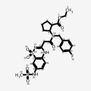 CCOC(=O)C1CCCC1N(Cc1ccc(F)cc1)C(=O)CC1=NS(=O)(=O)c2cc(NS(C)(=O)=O)ccc2N1